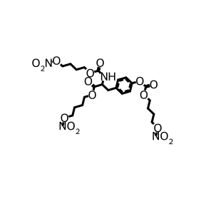 O=C(NC(Cc1ccc(OC(=O)OCCCCO[N+](=O)[O-])cc1)C(=O)OCCCCO[N+](=O)[O-])OCCCCO[N+](=O)[O-]